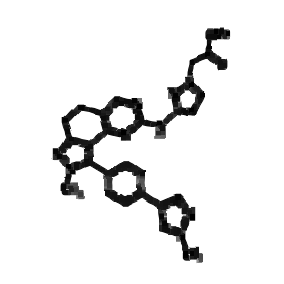 COC(=O)Cn1ccc(Nc2ncc3c(n2)-c2c(nn(C)c2-c2ccc(-c4cnn(C)c4)cc2)CC3)n1